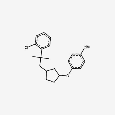 CC(C)(C)c1ccc(OC2CCC(CC(C)(C)c3ccccc3Cl)C2)cc1